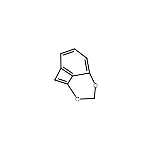 [C]1=C2OCOc3cccc1c32